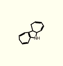 C1=CCC2C3=C(C=CCC=C3)NC2C=C1